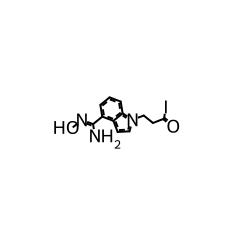 N/C(=N\O)c1cccc2c1ccn2CCC(=O)I